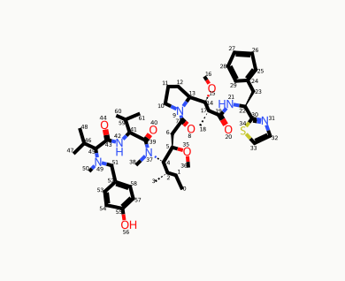 CC[C@H](C)[C@@H]([C@@H](CC(=O)N1CCCC1[C@H](OC)[C@@H](C)C(=O)N[C@@H](Cc1ccccc1)c1nccs1)OC)N(C)C(=O)C(NC(=O)C(C(C)C)N(C)Cc1ccc(O)cc1)C(C)C